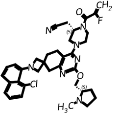 C=C(F)C(=O)N1CCN(c2nc(OC[C@@H]3CCCN3C)nc3c2CCC2(C3)CN(c3cccc4cccc(Cl)c34)C2)C[C@@H]1CC#N